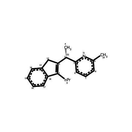 CCCC1=C([C@H](C)c2cccc(C)n2)Cc2ccccc21